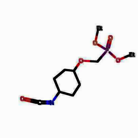 CCOP(=O)(COC1CCC(N=C=O)CC1)OCC